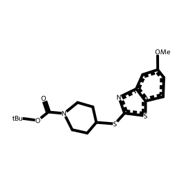 COc1ccc2sc(SC3CCN(C(=O)OC(C)(C)C)CC3)nc2c1